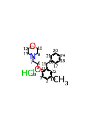 Cc1ccc(OCCN2CCOCC2)c(Cc2ccccc2)c1.Cl